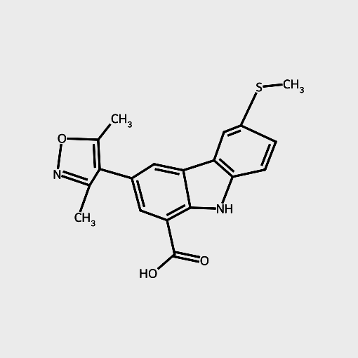 CSc1ccc2[nH]c3c(C(=O)O)cc(-c4c(C)noc4C)cc3c2c1